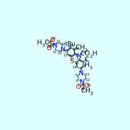 Cc1cc(N2CCN(S(C)(=O)=O)CC2)cc2c1N(C(=O)O)c1c(cc(N3CCN(S(C)(=O)=O)CC3)c(C(C)(C)C)c1C)S2